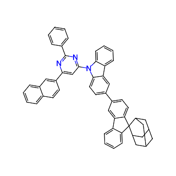 c1ccc(-c2nc(-c3ccc4ccccc4c3)cc(-n3c4ccccc4c4cc(-c5ccc6c(c5)-c5ccccc5C65C6CC7CC(C6)CC5C7)ccc43)n2)cc1